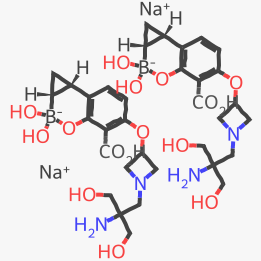 NC(CO)(CO)CN1CC(Oc2ccc3c(c2C(=O)O)O[B-](O)(O)[C@@H]2C[C@H]32)C1.NC(CO)(CO)CN1CC(Oc2ccc3c(c2C(=O)O)O[B-](O)(O)[C@@H]2C[C@H]32)C1.[Na+].[Na+]